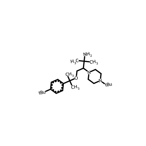 CC(C)(C)c1ccc(C(C)(C)OCC(N2CCN(C(C)(C)C)CC2)C(C)(C)N)cc1